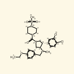 CCOc1ccc(CN(C)[C@H]2CN(C(=O)N3CCN(S(C)(=O)=O)CC3)C[C@@H]2c2ccc(Cl)c(Cl)c2)cc1